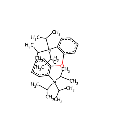 CC(C)[Si](c1ccccc1Oc1ccccc1[Si](C(C)C)(C(C)C)C(C)C)(C(C)C)C(C)C